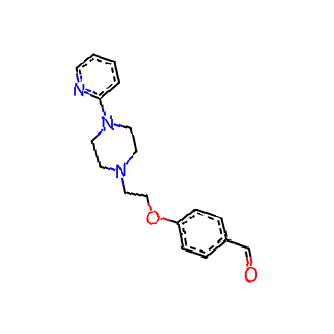 O=Cc1ccc(OCCN2CCN(c3ccccn3)CC2)cc1